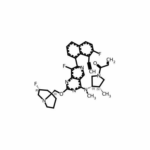 C#Cc1c(F)ccc2cccc(-c3ncc4c(N(C)[C@@H]5CN(C(=O)C=C)C[C@@H]5C)nc(OC[C@@]56CCCN5C[C@H](F)C6)nc4c3F)c12